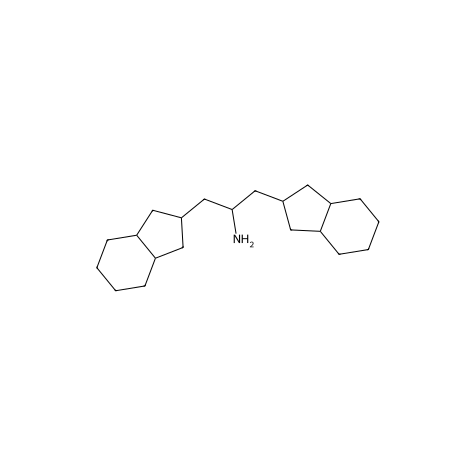 NC(CC1CC2CCCCC2C1)CC1CC2CCCCC2C1